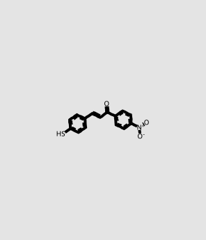 O=C(C=Cc1ccc(S)cc1)c1ccc([N+](=O)[O-])cc1